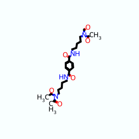 CC(=O)N(C=O)CCCCCNC(=O)c1ccc(C(=O)NCCCCCN(C(C)=O)C(C)=O)cc1